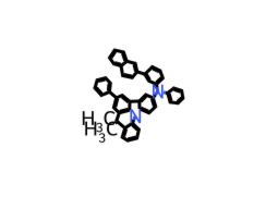 CC1(C)c2ccccc2-n2c3ccc(N(c4ccccc4)c4cccc(-c5ccc6ccccc6c5)c4)cc3c3cc(-c4ccccc4)cc1c32